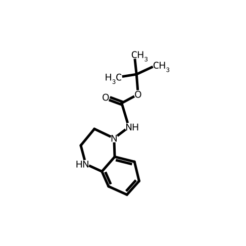 CC(C)(C)OC(=O)NN1CCNc2ccccc21